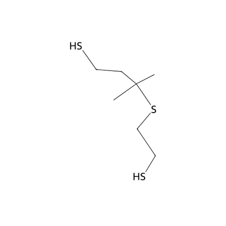 CC(C)(CCS)SCCS